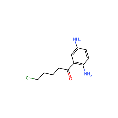 Nc1ccc(N)c(C(=O)CCCCCl)c1